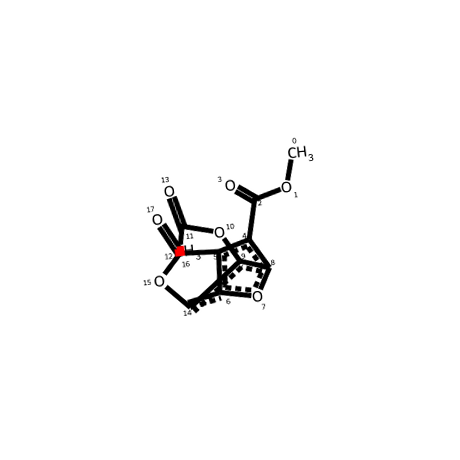 COC(=O)c1c2c3oc1c(OC(C)=O)c3OC2=O